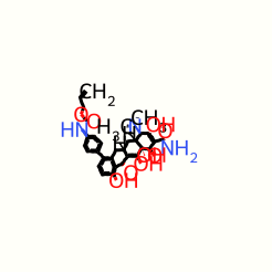 C=CCOC(=O)Nc1ccc(-c2ccc(O)c3c2C[C@@H]2C[C@@H]4[C@@H](N(C)C)C(O)=C(C(N)=O)C(=O)[C@@]4(O)C(O)=C2C3=O)cc1